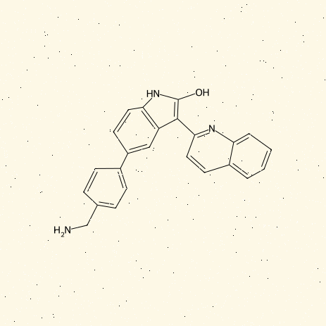 NCc1ccc(-c2ccc3[nH]c(O)c(-c4ccc5ccccc5n4)c3c2)cc1